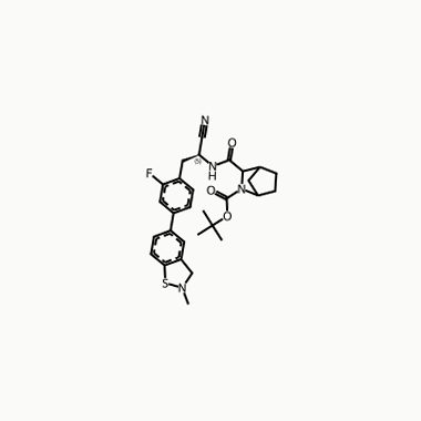 CN1Cc2cc(-c3ccc(C[C@@H](C#N)NC(=O)C4C5CCC(C5)N4C(=O)OC(C)(C)C)c(F)c3)ccc2S1